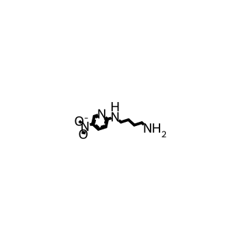 NCCCCNc1ccc([N+](=O)[O-])cn1